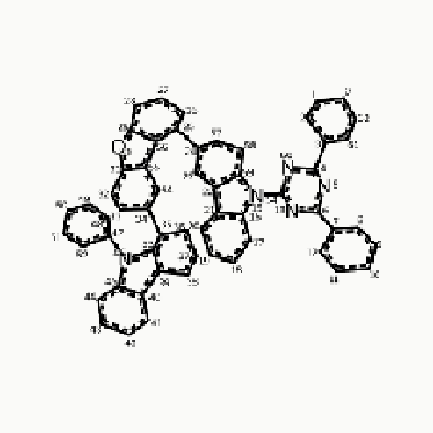 c1ccc(-c2nc(-c3ccccc3)nc(-n3c4ccccc4c4cc(-c5cccc6oc7ccc(-c8cccc9c%10ccccc%10n(-c%10ccccc%10)c89)cc7c56)ccc43)n2)cc1